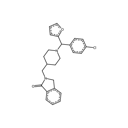 O=C1c2ccccc2CN1CC1CCN(C(c2ccc(Cl)cc2)c2ccco2)CC1